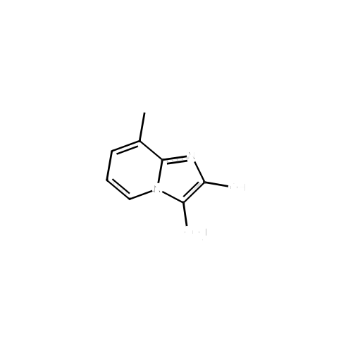 CCOC(=O)c1c(O)nc2c(C)cccn12